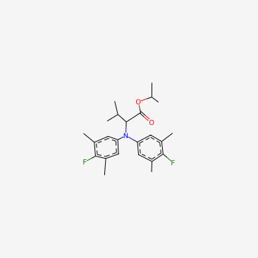 Cc1cc(N(c2cc(C)c(F)c(C)c2)C(C(=O)OC(C)C)C(C)C)cc(C)c1F